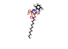 CCCCCCCCCCCC(=O)SCC(=O)N(CC(=O)OC)c1c(C)ccc(C)c1C